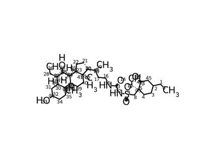 CCC1CC[C@@](CC)(CS(=O)(=O)NC(=O)NCC[C@@H](C)[C@H]2CC[C@H]3[C@@H]4[C@H](O)[C@H](CC)[C@@H]5C[C@H](O)CC[C@]5(C)[C@H]4CC[C@]23C)C(=O)C1